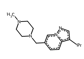 CC(C)c1cnn2cc(CN3CCN(C)CC3)ccc12